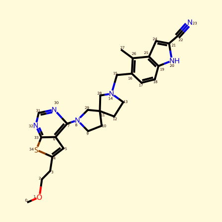 COCCc1cc2c(N3CCC4(CCN(Cc5ccc6[nH]c(C#N)cc6c5C)C4)C3)ncnc2s1